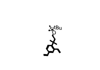 C=Cc1ccc(C(C)(C)CCO[Si](C)(C)C(C)(C)C)c(C=C)c1